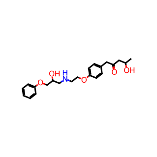 CC(O)CC(=O)Cc1ccc(OCCNCC(O)COc2ccccc2)cc1